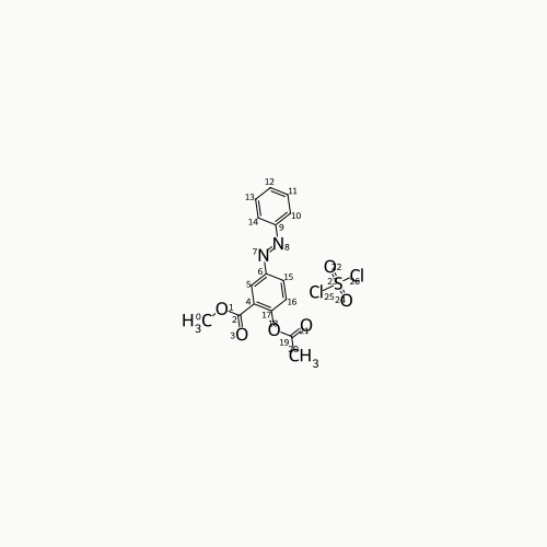 COC(=O)c1cc(N=Nc2ccccc2)ccc1OC(C)=O.O=S(=O)(Cl)Cl